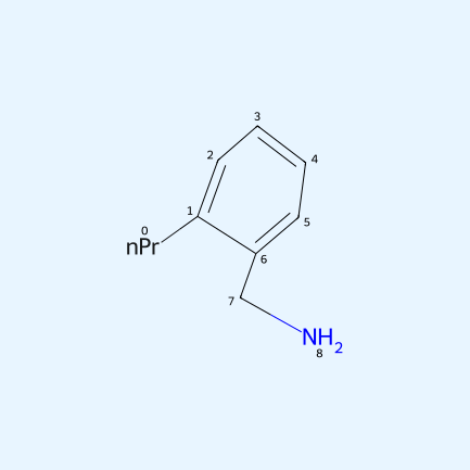 CCCc1ccccc1CN